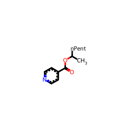 CCCCCC(C)OC(=O)c1ccncc1